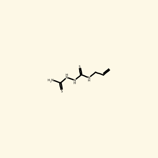 C=CCNC(=S)NNC(N)=S